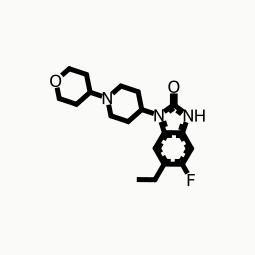 CCc1cc2c(cc1F)[nH]c(=O)n2C1CCN(C2CCOCC2)CC1